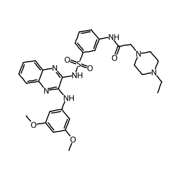 CCN1CCN(CC(=O)Nc2cccc(S(=O)(=O)Nc3nc4ccccc4nc3Nc3cc(OC)cc(OC)c3)c2)CC1